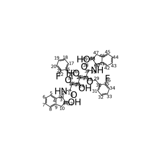 O=C(N[C@H]1c2ccccc2C[C@H]1O)[C@H](OCc1ccccc1F)[C@H](O)[C@@H](O)[C@@H](OCc1ccccc1F)C(=O)N[C@H]1c2ccccc2C[C@H]1O